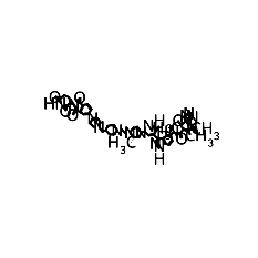 CC1=C(C(=O)Nc2ccc3[nH]nc(-c4ccnc(N5CCN(CCN6CCC(CN7CCN(c8ccc9c(c8)C(=O)N(C8CCC(=O)NC8=O)C9=O)CC7)CC6)[C@@H](C)C5)c4)c3c2)C(C)(C)n2nnnc2N1C